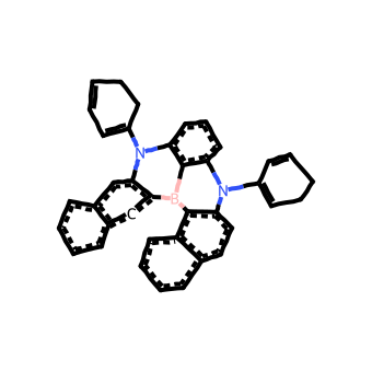 C1=CCCC(N2c3cc4ccccc4cc3B3c4c2cccc4N(C2=CCCC=C2)c2ccc4ccccc4c23)=C1